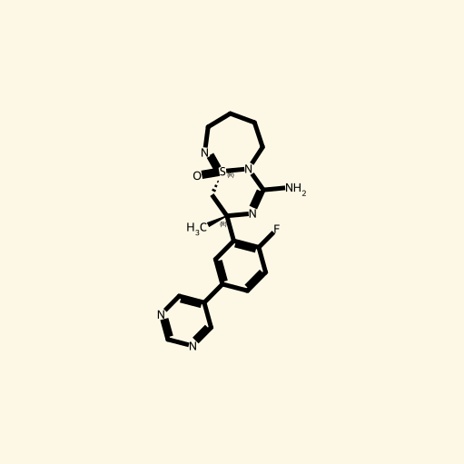 C[C@@]1(c2cc(-c3cncnc3)ccc2F)C[S@]2(=O)=NCCCCN2C(N)=N1